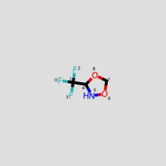 FC(F)(F)C1NOCO1